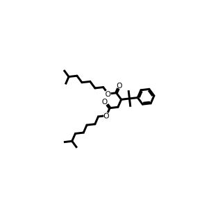 CC(C)CCCCCOC(=O)CC(C(=O)OCCCCCC(C)C)C(C)(C)c1ccccc1